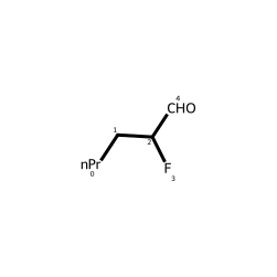 CCCCC(F)C=O